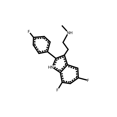 CNCCc1c(-c2ccc(F)cc2)[nH]c2c(F)cc(F)cc12